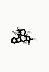 CC(=O)OCC1=C[C@H]2[C@@H]3C(C)(C)[C@]3(OC(=O)Cc3ccccc3)C[C@@H](C)[C@]2(O)[C@@H]2C=C(C)C(=O)[C@@]2(O)C1